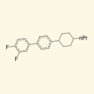 CCCC1CCC(c2ccc(-c3ccc(F)c(F)c3)cc2)CC1